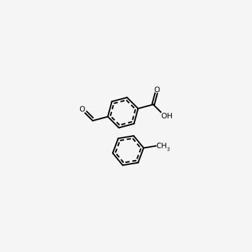 Cc1ccccc1.O=Cc1ccc(C(=O)O)cc1